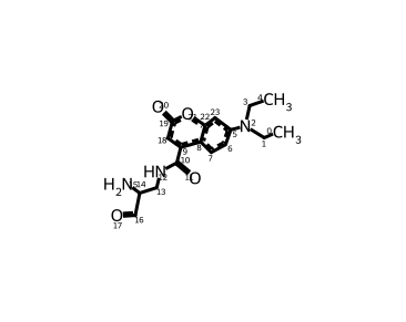 CCN(CC)c1ccc2c(C(=O)NCC(N)C=O)cc(=O)oc2c1